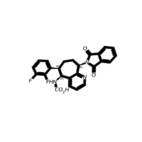 O=C(O)N[C@@H]1c2cccnc2[C@H](N2C(=O)c3ccccc3C2=O)CC[C@@H]1c1cccc(F)c1F